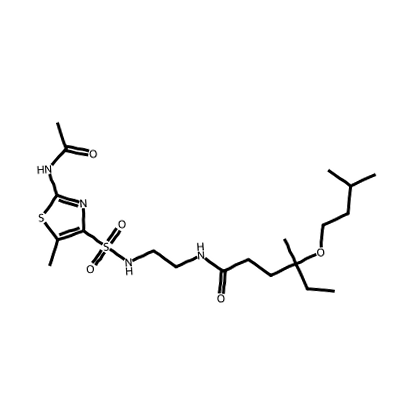 CCC(C)(CCC(=O)NCCNS(=O)(=O)c1nc(NC(C)=O)sc1C)OCCC(C)C